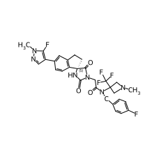 CN1CC(N(Cc2ccc(F)cc2)C(=O)CN2C(=O)N[C@]3(CCc4cc(-c5cnn(C)c5F)ccc43)C2=O)(C(F)(F)F)C1